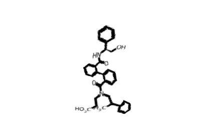 CC(CN(CCC(=O)O)C(=O)c1ccccc1-c1ccccc1C(=O)N[C@H](CO)c1ccccc1)c1ccccc1